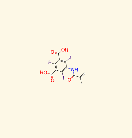 C=C(C)C(=O)Nc1c(I)c(C(=O)O)c(I)c(C(=O)O)c1I